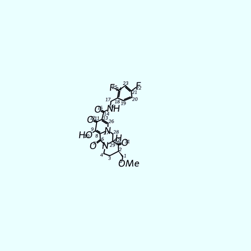 COC[C@H]1CCN2C(=O)c3c(O)c(=O)c(C(=O)NCc4ccc(F)cc4F)cn3C[C@@H]2C1=O